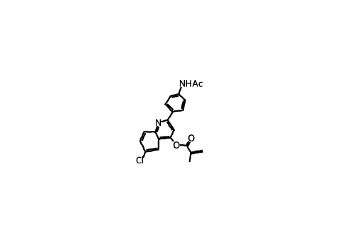 C=C(C)C(=O)Oc1cc(-c2ccc(NC(C)=O)cc2)nc2ccc(Cl)cc12